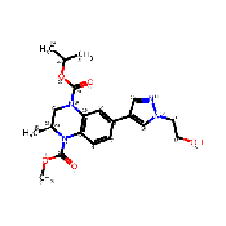 COC(=O)N1c2ccc(-c3cnn(CCO)c3)cc2N(C(=O)OC(C)C)C[C@@H]1C